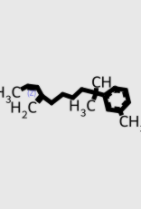 C=C(/C=C\C)CCCCC(C)(C)c1cccc(C)c1